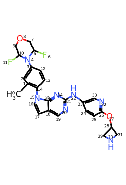 Cc1cc(N2C(F)COCC2F)ccc1-n1ccc2cnc(Nc3ccc(OC4CNC4)nc3)nc21